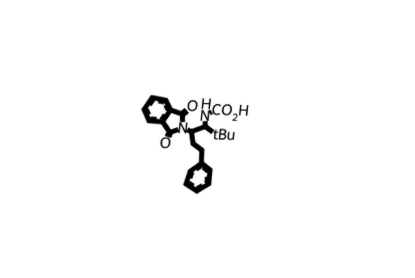 CC(C)(C)C(NC(=O)O)C(CCc1ccccc1)N1C(=O)c2ccccc2C1=O